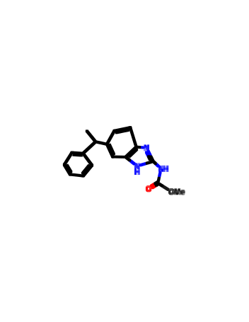 COC(=O)Nc1nc2ccc(C(C)c3ccccc3)cc2[nH]1